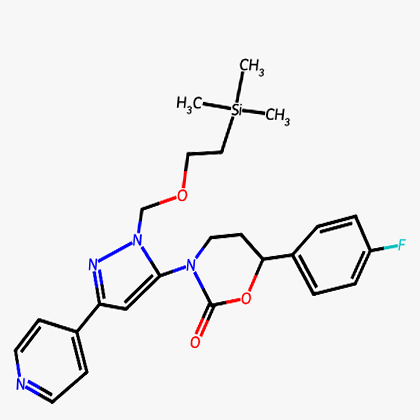 C[Si](C)(C)CCOCn1nc(-c2ccncc2)cc1N1CCC(c2ccc(F)cc2)OC1=O